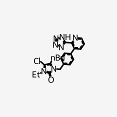 CCCCc1c(Cl)n(CC)c(=O)n1Cc1ccc(-c2cccnc2-c2nnn[nH]2)cc1